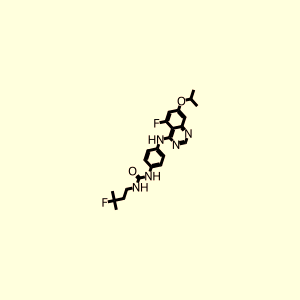 CC(C)Oc1cc(F)c2c(Nc3ccc(NC(=O)NCCC(C)(C)F)cc3)ncnc2c1